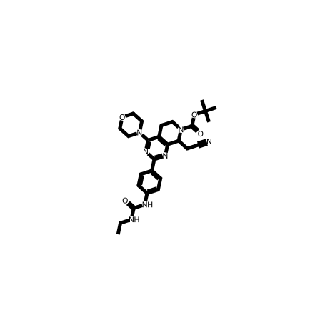 CCNC(=O)Nc1ccc(-c2nc3c(c(N4CCOCC4)n2)CCN(C(=O)OC(C)(C)C)C3CC#N)cc1